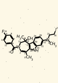 CC1=CN(C(=O)c2ccc(F)cc2)CC(C)(C)c2c1[nH]c1cc(N(C)CCI)ccc21